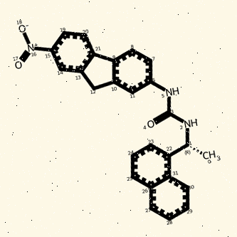 C[C@@H](NC(=O)Nc1ccc2c(c1)Cc1cc([N+](=O)[O-])ccc1-2)c1cccc2ccccc12